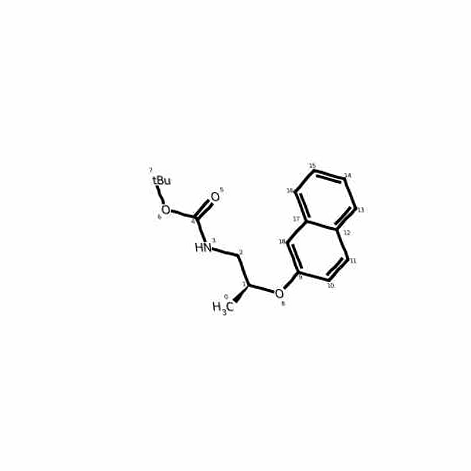 C[C@@H](CNC(=O)OC(C)(C)C)Oc1ccc2ccccc2c1